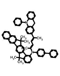 C/C(=C\C=C(/C)N(c1ccc(-c2ccccc2)cc1)c1cccc2c1-c1cc3c(cc1C2(C)C)-c1cc2ccccc2cc1C3(C)C)c1ccc2c(c1)Cc1ccccc1N2c1ccccc1